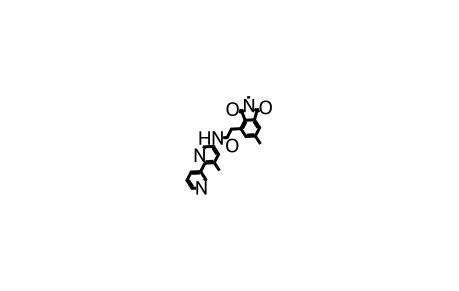 Cc1cc(CC(=O)Nc2cnc(-c3cccnc3)c(C)c2)c2c(c1)C(=O)N(C)C2=O